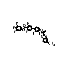 Cc1ccc2nc(C(F)(F)Oc3ccc(-c4cc(F)c(C(=O)Oc5cc(F)c(F)c(F)c5)c(F)c4)c(F)c3)sc2c1